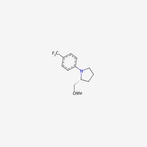 COC[C@H]1CCCN1c1ccc(C(F)(F)F)cc1